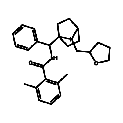 Cc1cccc(C)c1C(=O)NC(c1ccccc1)C12CCC(CC1)N2CC1CCCO1